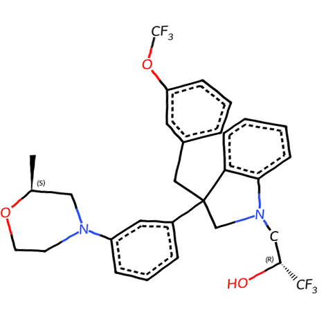 C[C@H]1CN(c2cccc(C3(Cc4cccc(OC(F)(F)F)c4)CN(C[C@@H](O)C(F)(F)F)c4ccccc43)c2)CCO1